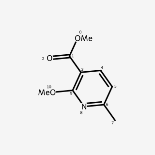 COC(=O)c1ccc(C)nc1OC